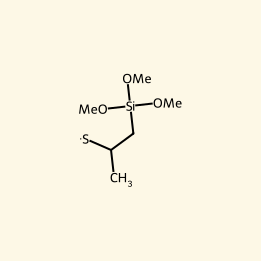 CO[Si](CC(C)[S])(OC)OC